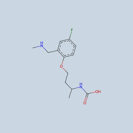 CNCc1cc(F)ccc1OCCC(C)NC(=O)O